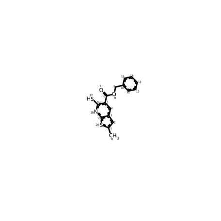 Cc1cc2cc(C(=O)OCc3ccccc3)c(S)nc2s1